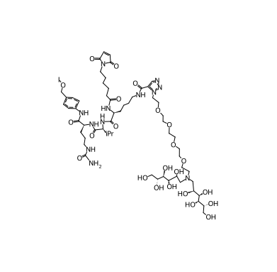 CC(C)[C@H](NC(=O)[C@H](CCCCNC(=O)c1cnnn1CCOCCOCCOCCOCCN(C[C@H](O)[C@@H](O)[C@H](O)[C@H](O)CO)C[C@H](O)[C@@H](O)[C@H](O)[C@H](O)CO)NC(=O)CCCCCN1C(=O)C=CC1=O)C(=O)N[C@@H](CCCNC(N)=O)C(=O)Nc1ccc(COI)cc1